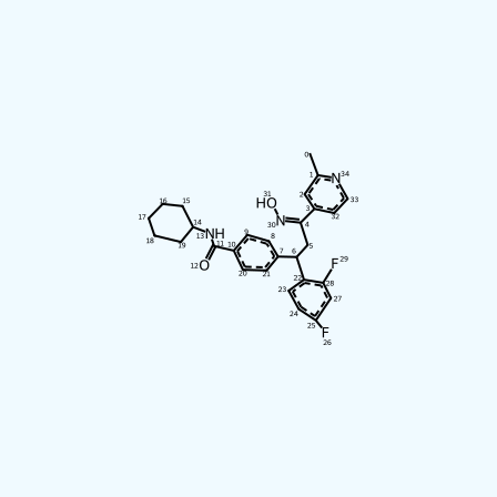 Cc1cc(C(CC(c2ccc(C(=O)NC3CCCCC3)cc2)c2ccc(F)cc2F)=NO)ccn1